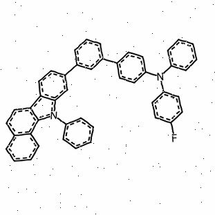 Fc1ccc(N(c2ccccc2)c2ccc(-c3cccc(-c4ccc5c6ccc7ccccc7c6n(-c6ccccc6)c5c4)c3)cc2)cc1